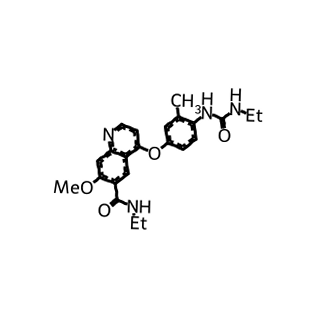 CCNC(=O)Nc1ccc(Oc2ccnc3cc(OC)c(C(=O)NCC)cc23)cc1C